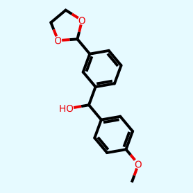 COc1ccc(C(O)c2cccc(C3OCCO3)c2)cc1